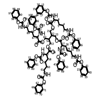 O=C(NCCCCC(NC(=O)Oc1ccccc1)C(=O)OCC(COC(=O)C(CCCCNC(=O)Oc1ccccc1)NC(=O)Oc1ccccc1)C(COC(=O)C(CCCCNC(=O)Oc1ccccc1)NC(=O)Oc1ccccc1)COC(=O)C(CCCCNC(=O)Oc1ccccc1)NC(=O)Oc1ccccc1)Oc1ccccc1